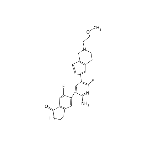 COCCN1CCc2cc(-c3cc(-c4cc5c(cc4F)C(=O)NCC5)c(N)nc3F)ccc2C1